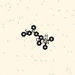 c1ccc(C2=NC(c3ccccc3)NC(c3ccc(-c4ccc(N(c5ccccc5)c5ccc6c(c5)sc5ccccc56)cc4)c4oc5ccccc5c34)=N2)cc1